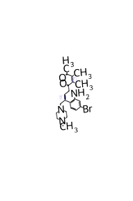 CC(=O)/C(C)=C(/C)C(=O)C/C=C(/CN1CCN(C)CC1)c1ccc(Br)cc1N